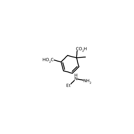 CC1(C(=O)O)C=CC=C(C(=O)O)C1.CCNN